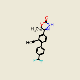 C#Cc1cc(C2=NNC(=O)O[C@H]2C)ccc1-c1ccc(C(F)F)cc1